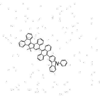 CC1(C)c2cc(-c3c4ccccc4c(-c4ccc5c(c4)c4ccccc4n5-c4ccccc4)c4ccccc34)c3ccccc3c2-c2c1c1ccccc1c1ccccc21